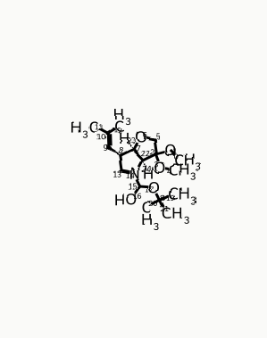 COC1(OC)CO[C@@H]2[C@H](C=C(C)C)CN(C(O)OC(C)(C)C)[C@@H]21